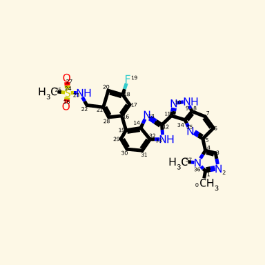 Cc1ncc(-c2ccc3[nH]nc(-c4nc5c(-c6cc(F)cc(CNS(C)(=O)=O)c6)cccc5[nH]4)c3n2)n1C